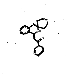 O=C(/C=C1\NC2(CCOCC2)Cc2ccccc21)C1C=CC=CC1